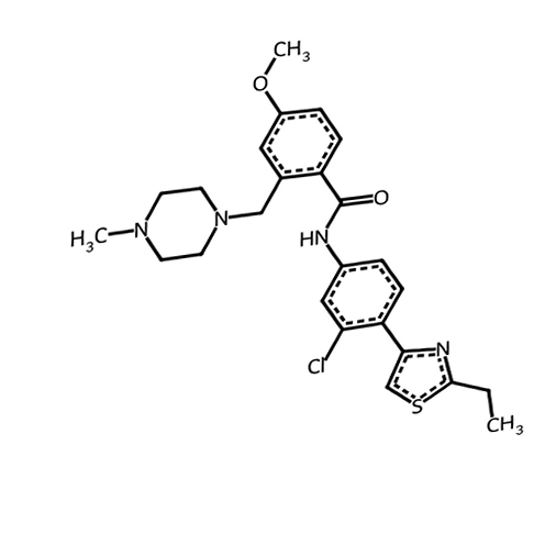 CCc1nc(-c2ccc(NC(=O)c3ccc(OC)cc3CN3CCN(C)CC3)cc2Cl)cs1